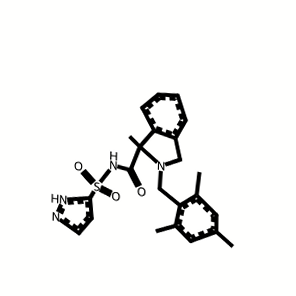 Cc1cc(C)c(CN2Cc3ccccc3C2(C)C(=O)NS(=O)(=O)c2ccn[nH]2)c(C)c1